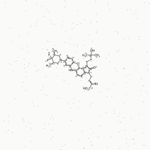 CC/C(=C\Cn1c(=O)n(CCC(C)(C)O)c2cc(Nc3nc(N4C[C@@H](C)C(F)(F)[C@@H](C)C4)ncc3Cl)ccc21)C(=O)O